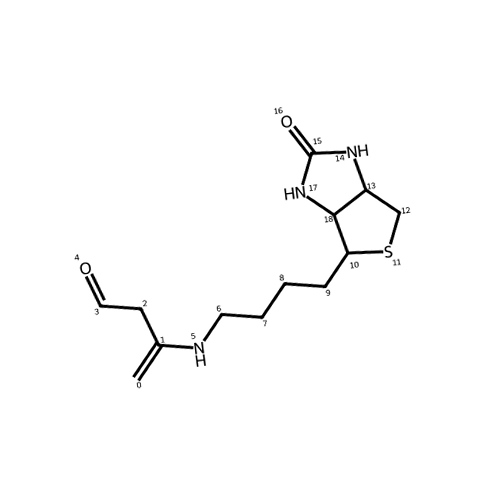 C=C(CC=O)NCCCCC1SCC2NC(=O)NC21